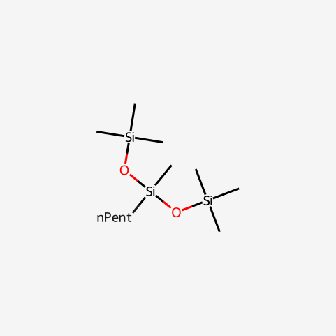 CCCCC[Si](C)(O[Si](C)(C)C)O[Si](C)(C)C